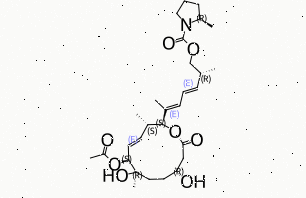 CC(=O)O[C@H]1/C=C/[C@H](C)[C@@H](/C(C)=C/C=C/[C@@H](C)COC(=O)N2CCC[C@H]2C)OC(=O)C[C@H](O)CC[C@@]1(C)O